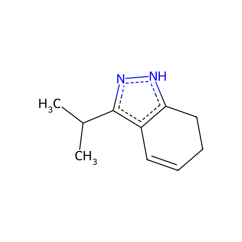 CC(C)c1n[nH]c2c1C=CCC2